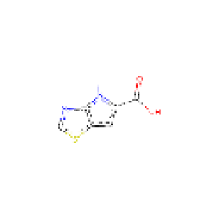 O=C(O)c1cc2scnc2[nH]1